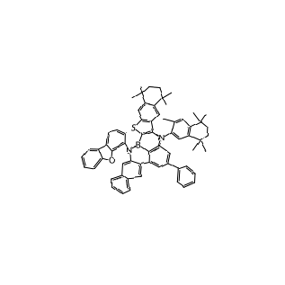 Cc1cc2c(cc1N1c3cc(-c4ccccc4)cc4c3B(c3sc5cc6c(cc5c31)C(C)(C)CCC6(C)C)N(c1cccc3c1oc1ccccc13)c1cc3ccccc3cc1-4)C(C)(C)CCC2(C)C